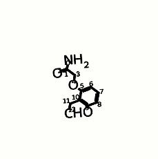 NC(=O)COc1ccccc1CC=O